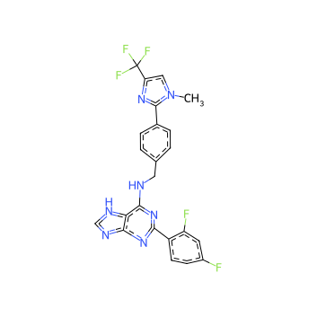 Cn1cc(C(F)(F)F)nc1-c1ccc(CNc2nc(-c3ccc(F)cc3F)nc3nc[nH]c23)cc1